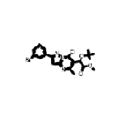 COC(=O)[C@@H](OC(C)(C)C)c1c(C)nc2cc(-c3cccc(Br)c3)nn2c1Cl